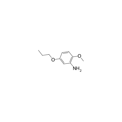 CCCOc1ccc(OC)c(N)c1